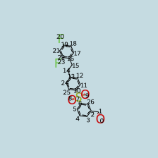 O=Cc1cccc(S(=O)(=O)c2ccc(CCc3ccc(F)cc3F)cc2)c1